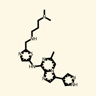 Cc1cn2c(-c3cn[nH]c3)cnc2c(Nc2cnc(CNCCCN(C)C)s2)n1